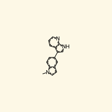 Cn1ccc2cc(-c3c[nH]c4ncccc34)ccc21